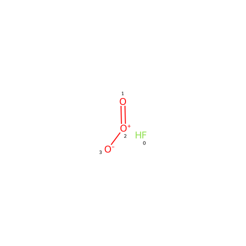 F.O=[O+][O-]